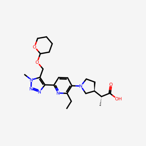 CCc1nc(-c2nnn(C)c2COC2CCCCO2)ccc1N1CC[C@@H]([C@@H](C)C(=O)O)C1